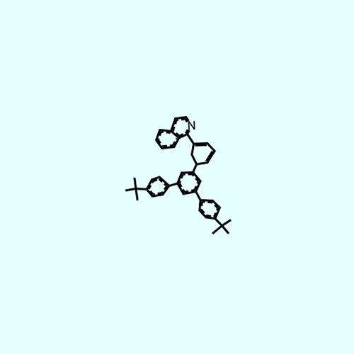 CC(C)(C)c1ccc(-c2cc(-c3ccc(C(C)(C)C)cc3)cc(C3C=CC=C(c4nccc5ccccc45)C3)c2)cc1